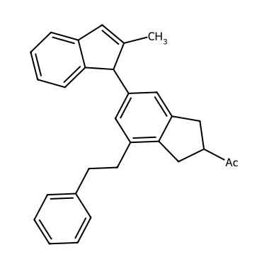 CC(=O)C1Cc2cc(C3C(C)=Cc4ccccc43)cc(CCc3ccccc3)c2C1